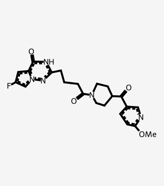 COc1ccc(C(=O)C2CCN(C(=O)CCCc3nn4cc(F)cc4c(=O)[nH]3)CC2)cn1